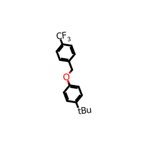 CC(C)(C)c1ccc(OCc2ccc(C(F)(F)F)cc2)cc1